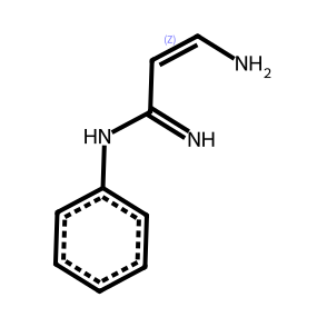 N=C(/C=C\N)Nc1ccccc1